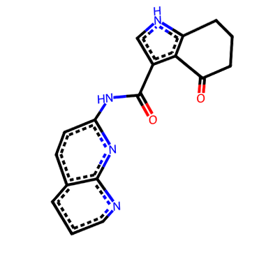 O=C(Nc1ccc2cccnc2n1)c1c[nH]c2c1C(=O)CCC2